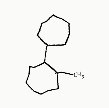 C[C]1CCCCC1C1CCCCC1